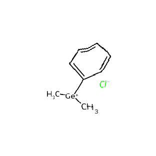 [CH3][Ge+]([CH3])[c]1ccccc1.[Cl-]